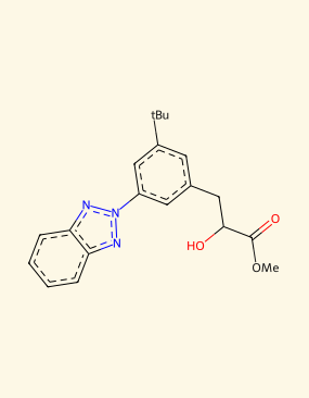 COC(=O)C(O)Cc1cc(-n2nc3ccccc3n2)cc(C(C)(C)C)c1